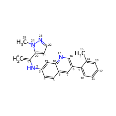 C=C(Nc1ccc2cc(-c3ccccc3C)cnc2c1)c1ccnn1C